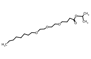 CCCCCCCCOCCOCCOCCCC(=O)OC(C)C